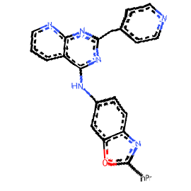 CCCc1nc2ccc(Nc3nc(-c4ccncc4)nc4ncccc34)cc2o1